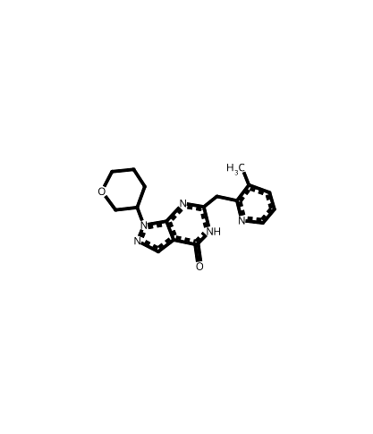 Cc1cccnc1Cc1nc2c(cnn2C2CCCOC2)c(=O)[nH]1